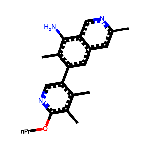 CCCOc1ncc(-c2cc3cc(C)ncc3c(N)c2C)c(C)c1C